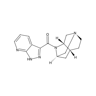 O=C(c1n[nH]c2ncccc12)N1[C@@H]2C[C@H]3CC[N@@](C2)C[C@H]31